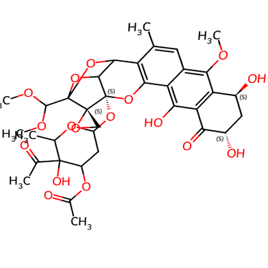 COc1c2c(c(O)c3c4c(c(C)cc13)C1OC3(C(OC)OC)OC1[C@@](OC1CC(OC(C)=O)C(O)(C(C)=O)C(C)O1)(O4)[C@@]31CO1)C(=O)[C@@H](O)C[C@@H]2O